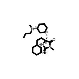 CCCN(C)[C@H]1CCC[C@H](C[C@@]2(CCC3CCCCC3)NC(=N)N(C)C2=O)C1